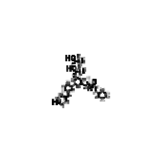 O=C(O)C(F)(F)F.O=C(O)C(F)(F)F.O=S(=O)(C=Cc1ccccc1)NCc1cccc(-c2cccc(CN3CCNCC3)c2)c1